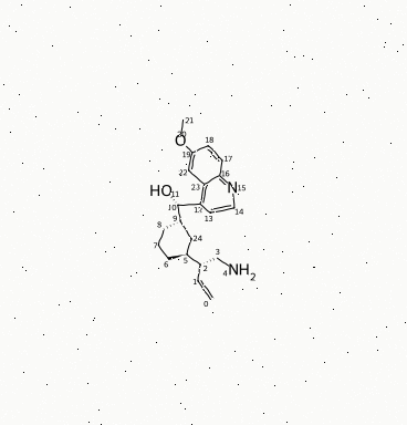 C=C[C@@H](CN)[C@H]1CCC[C@H]([C@H](O)c2ccnc3ccc(OC)cc23)C1